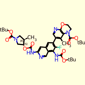 Cc1c(-c2cc3cc(NC(=O)O[C@@H]4CN(C(=O)OC(C)(C)C)C[C@H]4C)ncc3c(NC(=O)OC(C)(C)C)c2F)cnc2c1N(C(=O)OC(C)(C)C)CCO2